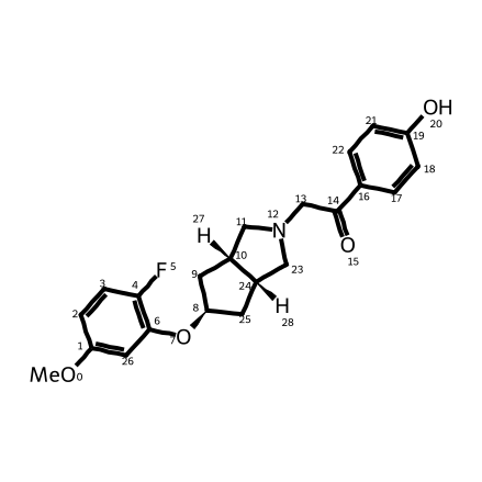 COc1ccc(F)c(O[C@H]2C[C@@H]3CN(CC(=O)c4ccc(O)cc4)C[C@@H]3C2)c1